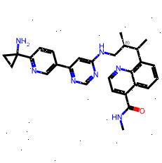 CNC(=O)c1ccnc2c(C(C)[C@H](C)CNc3cc(-c4ccc(C5(N)CC5)nc4)ncn3)cccc12